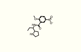 CCC(NC(=O)c1cc([N+](=O)[O-])ccc1OC)C1CCCN1